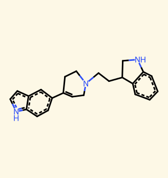 C1=C(c2ccc3[nH]ccc3c2)CCN(CCC2CNc3ccccc32)C1